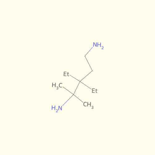 CCC(CC)(CCN)C(C)(C)N